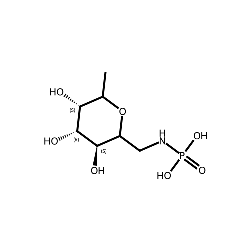 CC1OC(CNP(=O)(O)O)[C@@H](O)[C@H](O)[C@@H]1O